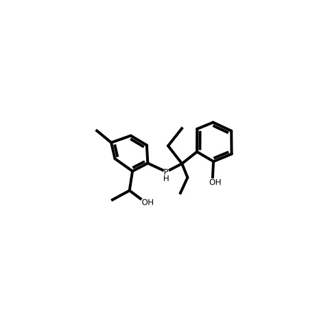 CCC(CC)(Pc1ccc(C)cc1C(C)O)c1ccccc1O